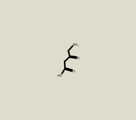 N[CH]C(=O)CC(=O)O